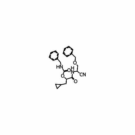 N#CC(COCc1ccccc1)NC(=O)C(CC1CC1)OC(=O)NCc1ccccc1